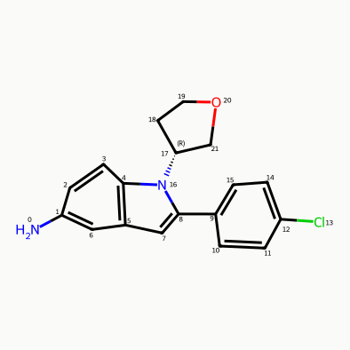 Nc1ccc2c(c1)cc(-c1ccc(Cl)cc1)n2[C@@H]1CCOC1